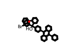 O[C@@](c1ccc(-c2c3ccccc3c(-c3ccccc3)c3ccccc23)cc1)(c1cccc(Br)c1)c1ccccc1-c1ccccc1